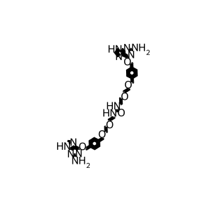 Nc1nc(OCc2ccc(COCCOCCNC(=O)NCCOCCOCc3ccc(COc4nc(N)nc5[nH]cnc45)cc3)cc2)c2nc[nH]c2n1